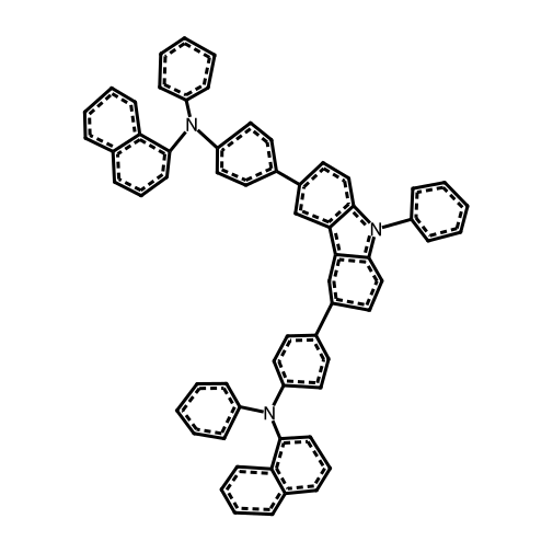 c1ccc(N(c2ccc(-c3ccc4c(c3)c3cc(-c5ccc(N(c6ccccc6)c6cccc7ccccc67)cc5)ccc3n4-c3ccccc3)cc2)c2cccc3ccccc23)cc1